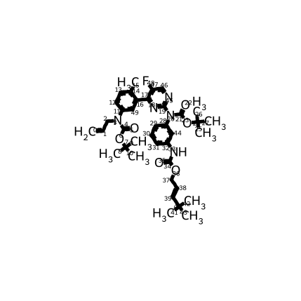 C=CCN(C(=O)OC(C)(C)C)c1ccc(C)c(-c2nc(N(C(=O)OC(C)(C)C)c3cccc(NC(=O)OCC=CC(C)(C)C)c3)ncc2F)c1